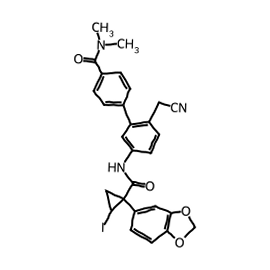 CN(C)C(=O)c1ccc(-c2cc(NC(=O)C3(c4ccc5c(c4)OCO5)CC3I)ccc2CC#N)cc1